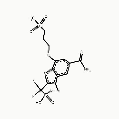 CS(=O)(=O)CCCOc1cc(C(N)=O)cc2c(Cl)c(C(F)(F)P(=O)(O)O)sc12